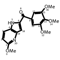 COc1ccc2[nH]c(C(=O)c3cc(OC)c(OC)c(OC)c3)cc2n1